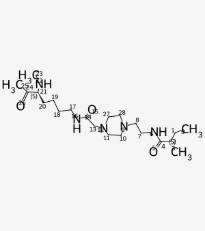 CC[C@H](C)C(=O)NCCN1CCN(CC(=O)NCCCC[C@H](NC)C(C)=O)CC1